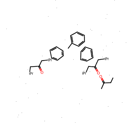 CC(C)CC(=O)CC(C)C.CC(C)CC(=O)CC(C)C.CCC(C)=O.Cc1ccccc1.c1ccccc1.c1ccccc1